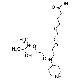 CC(O)N(C)OCCON(CCOCCOCCCC(=O)O)C1CCNCC1